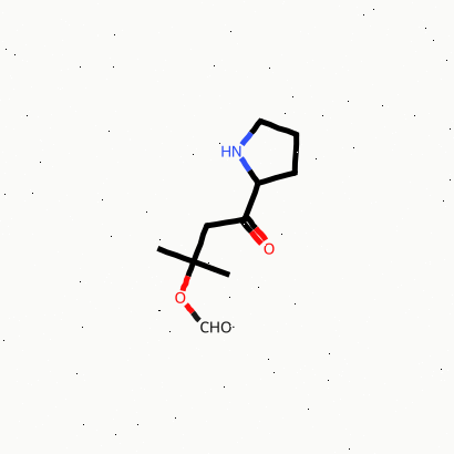 CC(C)(CC(=O)C1CCCN1)O[C]=O